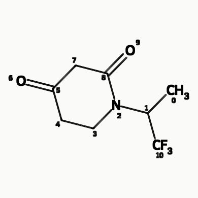 CC(N1CCC(=O)CC1=O)C(F)(F)F